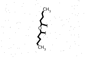 CCCCC(I)OC(I)CCCC